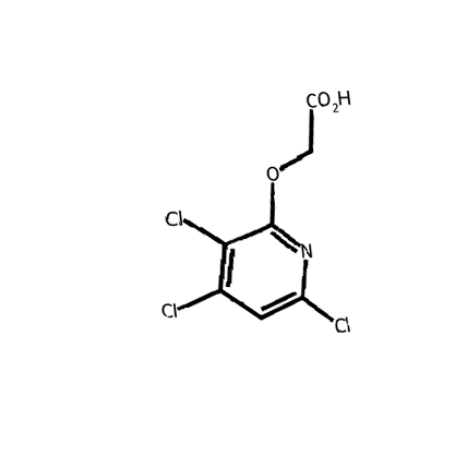 O=C(O)COc1nc(Cl)cc(Cl)c1Cl